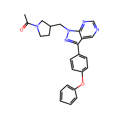 CC(=O)N1CCC(Cn2nc(-c3ccc(Oc4ccccc4)cc3)c3cncnc32)C1